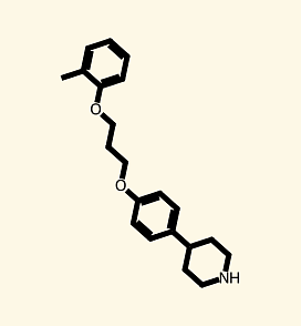 Cc1ccccc1OCCCOc1ccc(C2CCNCC2)cc1